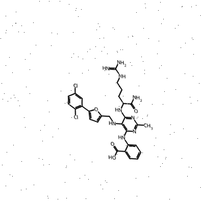 Cc1nc(Nc2ccccc2C(=O)O)c(NCc2ccc(-c3cc(Cl)ccc3Cl)o2)c(NC(CCCNC(=N)N)C(N)=O)n1